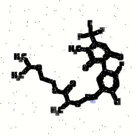 CC(C)OCCOC(=O)C(C)O/N=C/c1cc(-n2c(=O)cc(C(F)(F)F)n(C)c2=O)c(F)cc1Cl